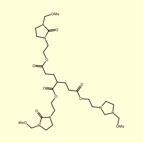 COCN1CCN(CCOC(=O)CCC(CCC(=O)OCCN2CCN(COC)C2=O)C(=O)OCCN2CCN(COC)C2=O)C1